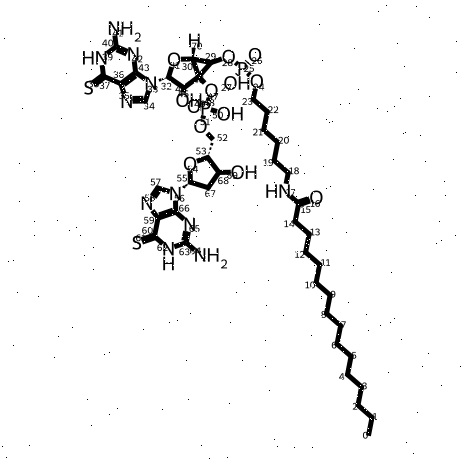 CCCCCCCCCCCCCCCC(=O)NCCCCCCOP(=O)(O)OC1[C@H]2O[C@@H](n3cnc4c(=S)[nH]c(N)nc43)C(O)C12OP(=O)(O)OC[C@H]1O[C@@H](n2cnc3c(=S)[nH]c(N)nc32)CC1O